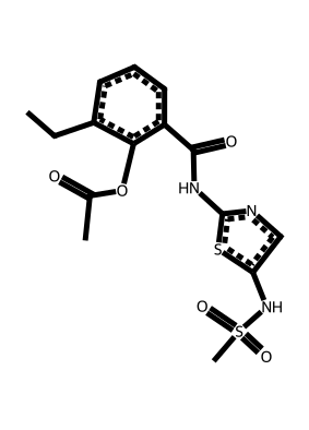 CCc1cccc(C(=O)Nc2ncc(NS(C)(=O)=O)s2)c1OC(C)=O